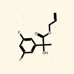 C=CCOC(=O)C(C)(O)c1cc(F)cc(F)c1